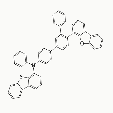 c1ccc(-c2cc(-c3ccc(N(c4ccccc4)c4cccc5c4sc4ccccc45)cc3)ccc2-c2cccc3c2oc2ccccc23)cc1